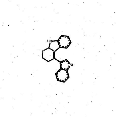 c1ccc2c(c1)NC1CCCC(c3c[nH]c4ccccc34)=C21